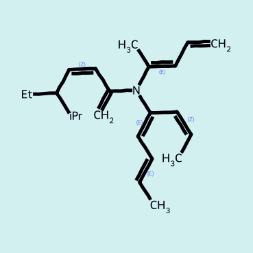 C=C/C=C(\C)N(C(=C)/C=C\C(CC)C(C)C)C(/C=C\C)=C/C=C/C